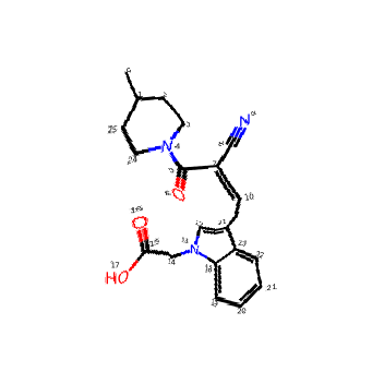 CC1CCN(C(=O)C(C#N)=Cc2cn(CC(=O)O)c3ccccc23)CC1